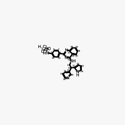 CS(=O)(=O)Nc1ccc(-c2nc(NCC(c3cccnc3)c3ccc[nH]3)c3ccccc3n2)cc1